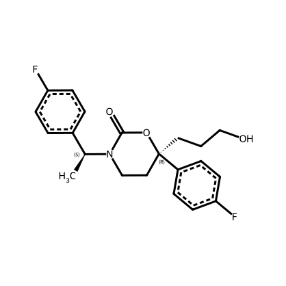 C[C@@H](c1ccc(F)cc1)N1CC[C@](CCCO)(c2ccc(F)cc2)OC1=O